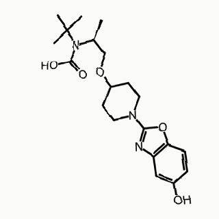 C[C@@H](COC1CCN(c2nc3cc(O)ccc3o2)CC1)N(C(=O)O)C(C)(C)C